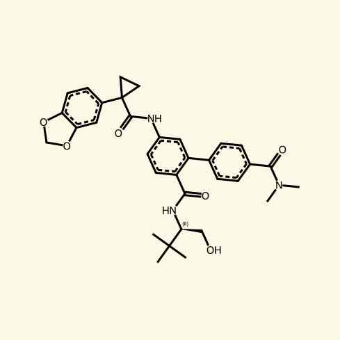 CN(C)C(=O)c1ccc(-c2cc(NC(=O)C3(c4ccc5c(c4)OCO5)CC3)ccc2C(=O)N[C@@H](CO)C(C)(C)C)cc1